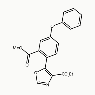 CCOC(=O)c1ncoc1-c1ccc(Oc2ccccc2)cc1C(=O)OC